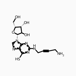 NCC#CCNc1nc(S)c2ncn([C@@H]3O[C@H](CO)[C@H](O)C3O)c2n1